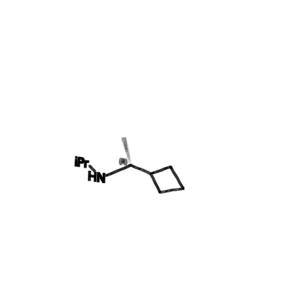 CC(C)N[C@H](C)C1CCC1